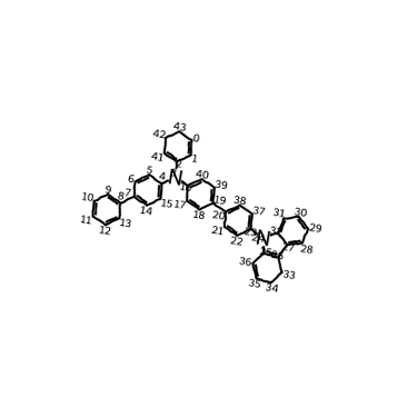 C1=CC(N(c2ccc(-c3ccccc3)cc2)c2ccc(-c3ccc(-n4c5c(c6ccccc64)CCC=C5)cc3)cc2)=CCC1